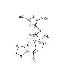 CCCCc1cn(C(C)(C)C)sc1=NC(=O)[C@@]1(C)CC[C@@H](C(=O)N2CCCC2)C1(C)C